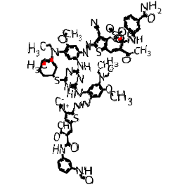 [C-]#[N+]c1cc(/C=C(\C(C)=O)C(=O)Nc2cccc(NC=O)c2)sc1/N=N/c1cc(OC)c(N(CC)CC)cc1Nc1nc(Nc2cc(N(CC)CC)c(OC)cc2/N=N/c2sc(/C=C(/C(C)=O)C(=O)Nc3cccc(C(N)=O)c3)c(S(=O)(=O)O)c2C#N)nc(SC2CCCCC2)n1